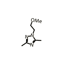 COCCn1nc(C)nc1C